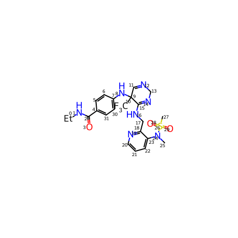 CCNC(=O)c1ccc(NC2(C(F)(F)F)C=NCN=C2NCc2ncccc2N(C)S(C)(=O)=O)cc1